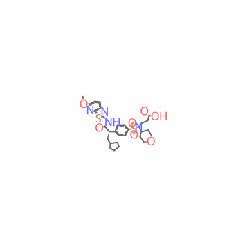 COc1ccc2nc(NC(=O)[C@H](CC3CCCC3)c3ccc(S(=O)(=O)N(CCC(=O)O)C4CCOCC4)cc3)sc2n1